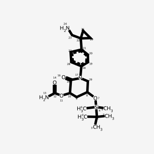 CC(C)(C)[Si](C)(C)OC1CC(OC(N)=O)C(=O)N(c2ccc(C3(CN)CC3)cc2)C1